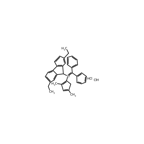 CCc1ccc2c(c1)[CH]([Zr]([C]1=C(C)C=C(C)C1)=[C](c1ccccc1)c1ccccc1)c1cc(CC)ccc1-2.Cl.Cl